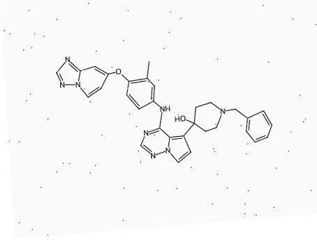 Cc1cc(Nc2ncnn3ccc(C4(O)CCN(Cc5ccccc5)CC4)c23)ccc1Oc1ccn2ncnc2c1